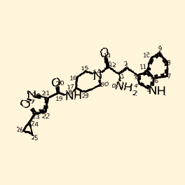 N[C@H](Cc1c[nH]c2ccccc12)C(=O)N1CCC(NC(=O)c2cc(C3CC3)on2)CC1